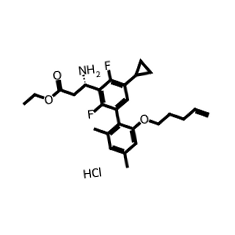 C=CCCCOc1cc(C)cc(C)c1-c1cc(C2CC2)c(F)c([C@@H](N)CC(=O)OCC)c1F.Cl